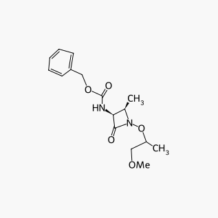 COCC(C)ON1C(=O)[C@@H](NC(=O)OCc2ccccc2)[C@H]1C